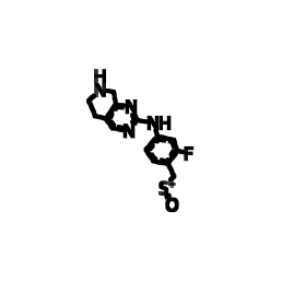 O=[S+]Cc1ccc(Nc2ncc3c(n2)CNCC3)cc1F